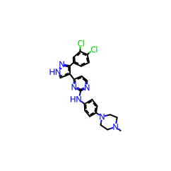 CN1CCN(c2ccc(Nc3nccc(-c4c[nH]nc4-c4ccc(Cl)c(Cl)c4)n3)cc2)CC1